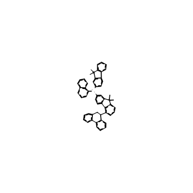 CC1(C)c2ccccc2-c2ccc(N(c3ccc4c(c3)C(C)(C)c3cccc(C5Cc6ccccc6-c6ccccc65)c3-4)c3cccc4ccccc34)cc21